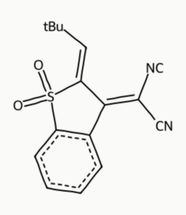 [C-]#[N+]/C(C#N)=C1\C(=C\C(C)(C)C)S(=O)(=O)c2ccccc21